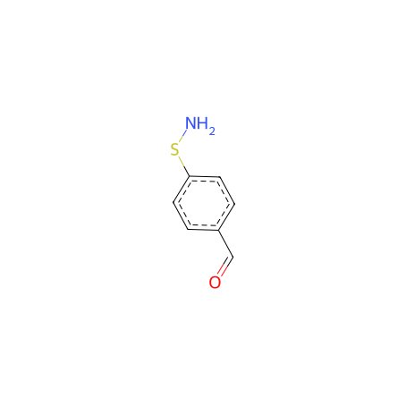 NSc1ccc(C=O)cc1